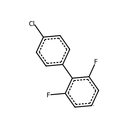 Fc1c[c]cc(F)c1-c1ccc(Cl)cc1